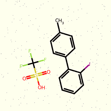 Cc1ccc(-c2ccccc2I)cc1.O=S(=O)(O)C(F)(F)F